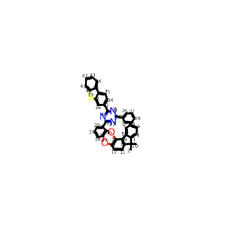 CC1(C)c2ccccc2-c2c1ccc1c2Oc2c(cccc2-c2nc(-c3ccccc3)nc(-c3ccc4c(c3)sc3ccccc34)n2)O1